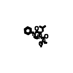 CCN(C(=O)[C@H](CC(C)C)NC(=O)N(C)OC)c1ccccc1